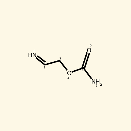 N=CCOC(N)=O